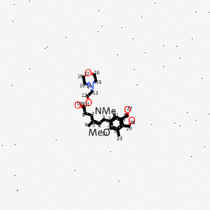 CNc1c(CC=C(C)CCC(=O)OCCN2CCOCC2)c(OC)c(C)c2c1C(=O)OC2